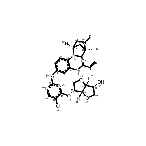 C=CC(=O)Nc1cc(Nc2ncc(Cl)c(O[C@@H]3CO[C@H]4[C@@H]3OC[C@H]4O)n2)ccc1N1C[C@H]2C[C@@H]1CN2C